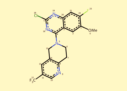 COc1cc2c(N3CCc4ncc(C(F)(F)F)cc4C3)nc(Cl)nc2cc1F